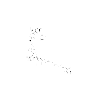 CC[N+](CC)(CCOC(=O)[C@H]1CC[C@@](C#N)(c2ccc(OC)c(OC3CCCC3)c2)CC1)Cc1ccc(C(O)CNCCCCCCOCCCCc2ccccc2)cc1OP(=O)(O)O